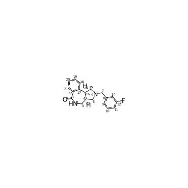 O=C1NC[C@@H]2CN(Cc3cccc(F)c3)C[C@@H]2c2ccccc21